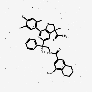 COc1cc(C(=O)NC[C@@](O)(c2ccccc2)c2cc3c(c(-c4cc(Cl)c(F)cc4F)n2)OC[C@]3(C)C(N)=O)cc2c1OCCC2